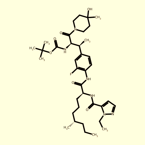 CCC[C@H](C)CCC[C@H](NC(=O)c1ccnn1CC)C(=O)Nc1ccc([C@H](C)[C@@H](NC(=O)OC(C)(C)C)C(=O)N2CCC(C)(O)CC2)cc1F